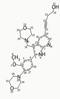 COc1cc(-c2[nH]c3ncc(C#CCCO)cc3c2CN2CCOCC2)ccc1N1CCOCC1